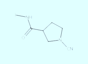 N#CN1CCC(C(=O)NI)C1